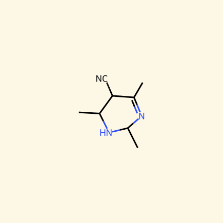 CC1=NC(C)NC(C)C1C#N